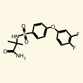 CC(C)(NS(=O)(=O)c1ccc(Oc2ccc(F)c(F)c2)cc1)C(N)=O